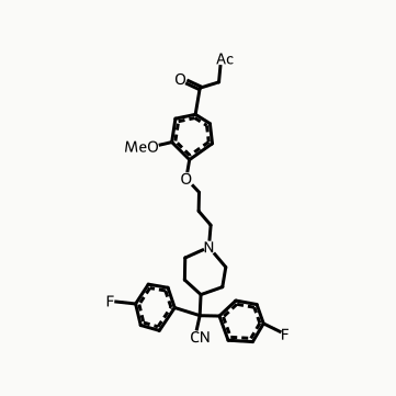 COc1cc(C(=O)CC(C)=O)ccc1OCCCN1CCC(C(C#N)(c2ccc(F)cc2)c2ccc(F)cc2)CC1